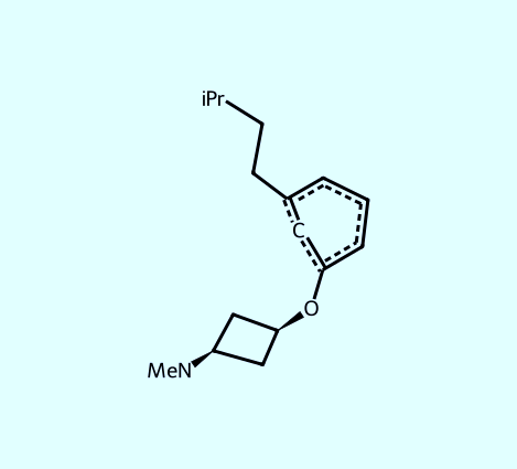 CN[C@H]1C[C@@H](Oc2cccc(CCC(C)C)c2)C1